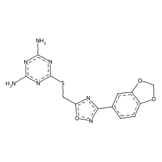 Nc1nc(N)nc(SCc2nc(-c3ccc4c(c3)OCO4)no2)n1